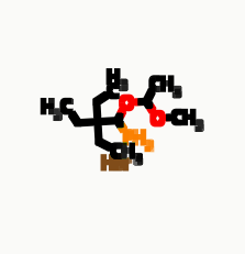 Br.CCC(CC)(CC)C(P)OC(C)OC